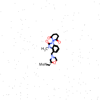 CNC[C@@H]1CN(Cc2cccc3c2n(C)c(=O)n3N2C(=O)CCCC2=O)CCO1